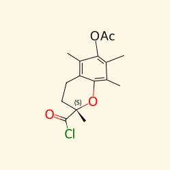 CC(=O)Oc1c(C)c(C)c2c(c1C)CC[C@@](C)(C(=O)Cl)O2